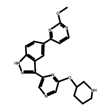 COc1nccc(-c2ccc3[nH]nc(-c4cncc(OC5CCCNC5)n4)c3c2)n1